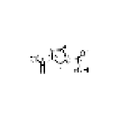 O=C(O)[C@H]1C=C[C@@H](NCl)C1